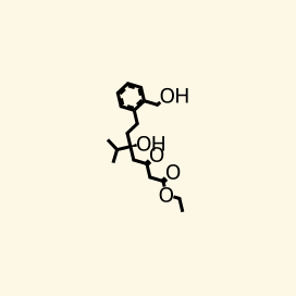 CCOC(=O)CC(=O)C[C@@](O)(CCc1ccccc1CO)C(C)C